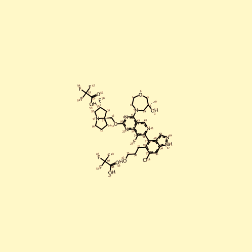 C[C@@]1(O)COCCN(c2nc(OC[C@@]34CCCN3C[C@H](F)C4)nc3c(F)c(-c4c(CCCO)c(Cl)cc5[nH]ncc45)ncc23)C1.O=C(O)C(F)(F)F.O=C(O)C(F)(F)F